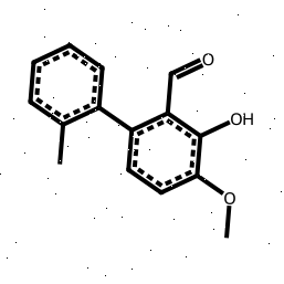 COc1ccc(-c2ccccc2C)c(C=O)c1O